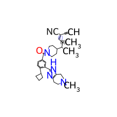 C#C/C(C#N)=C\[C@H](C)C(C)C1CCN(C(=O)c2ccc(C3CCC3)c(-c3nc4c([nH]3)CCN(C)CC4)c2)CC1